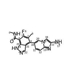 CNC(=O)c1c(F)c(C)c(-c2ccc3nc(NC)cn3c2)c2cn[nH]c12